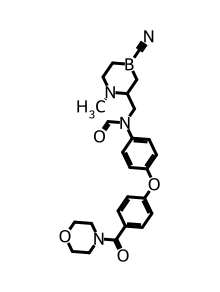 CN1CCB(C#N)CC1CN(C=O)c1ccc(Oc2ccc(C(=O)N3CCOCC3)cc2)cc1